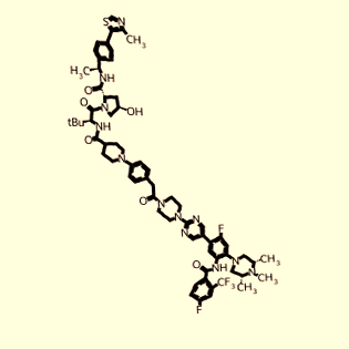 Cc1ncsc1-c1ccc([C@H](C)NC(=O)[C@@H]2C[C@@H](O)CN2C(=O)[C@@H](NC(=O)C2CCN(c3ccc(CC(=O)N4CCN(c5ncc(-c6cc(NC(=O)c7ccc(F)cc7C(F)(F)F)c(N7C[C@@H](C)N(C)[C@@H](C)C7)cc6F)cn5)CC4)cc3)CC2)C(C)(C)C)cc1